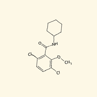 COc1c(Cl)ccc(Cl)c1C(=O)NC1CCCCC1